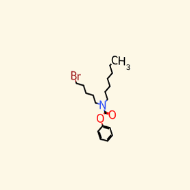 CCCCCCCN(CCCCCBr)C(=O)Oc1ccccc1